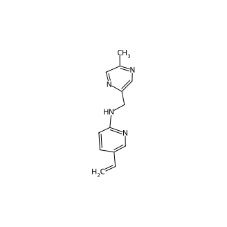 C=Cc1ccc(NCc2cnc(C)cn2)nc1